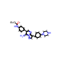 CC(C)COC(=O)Nc1ccc(-c2cnc3c(-c4ccc(N5CCNCC5)cc4)cnn3c2N)cc1